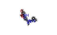 C=C/N=C(\N=C\c1cn2c3c(cccc13)CCC2)NCC1CCN(C(=O)Nc2ccc(OC)cc2OC)CC1